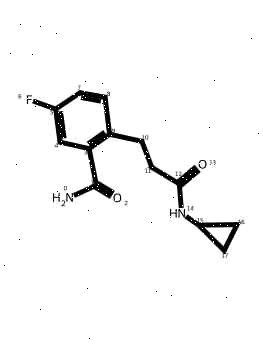 NC(=O)c1cc(F)ccc1C[CH]C(=O)NC1CC1